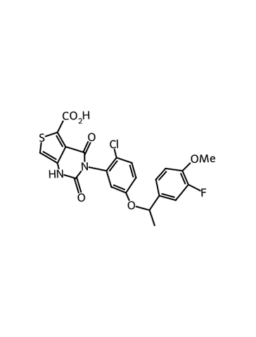 COc1ccc(C(C)Oc2ccc(Cl)c(-n3c(=O)[nH]c4csc(C(=O)O)c4c3=O)c2)cc1F